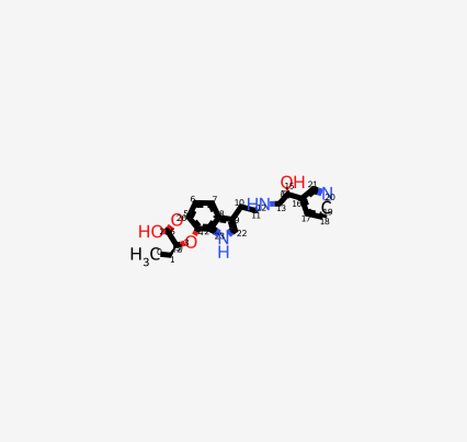 CC[C@H](Oc1cccc2c(CCNC[C@H](O)c3cccnc3)c[nH]c12)C(=O)O